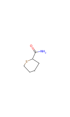 NC(=O)C1C[C]CCS1